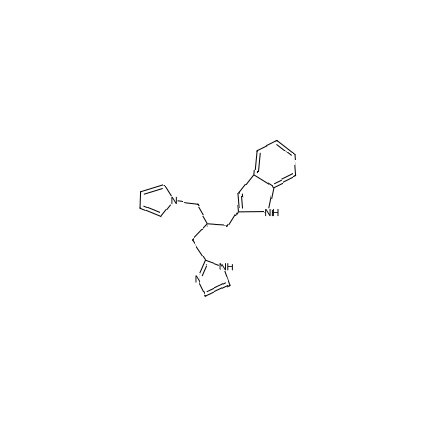 c1ccc2[nH]c(C[C](Cc3ncc[nH]3)Cn3cccc3)cc2c1